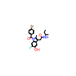 CCC(C)NC(=O)Cc1c(C)n(C(=O)c2ccc(Br)cc2)c2cc(F)c(O)cc12